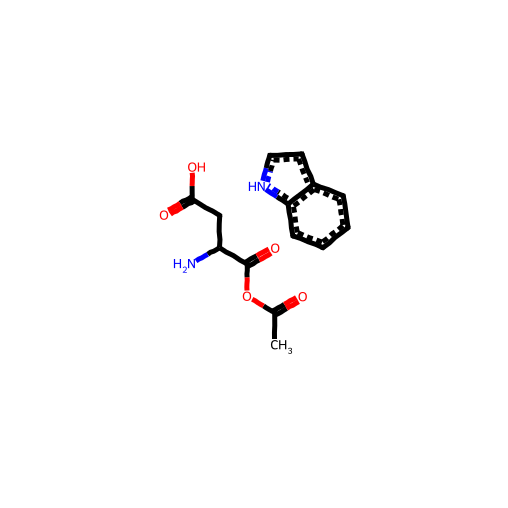 CC(=O)OC(=O)C(N)CC(=O)O.c1ccc2[nH]ccc2c1